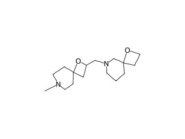 CN1CCC2(CC1)CC(CN1CCCC3(CCO3)C1)O2